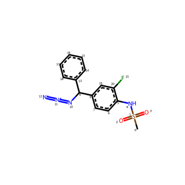 CS(=O)(=O)Nc1ccc(C(N=[N+]=[N-])c2ccccc2)cc1F